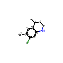 CC1CCNc2cc(F)c(C#N)cc21